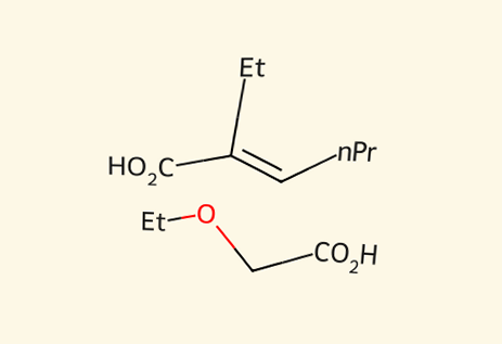 CCC/C=C(\CC)C(=O)O.CCOCC(=O)O